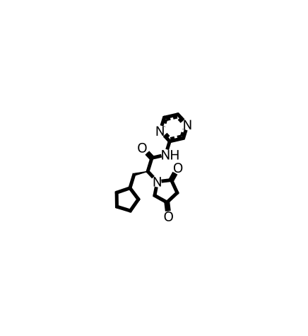 O=C1CC(=O)N([C@@H](CC2CCCC2)C(=O)Nc2cnccn2)C1